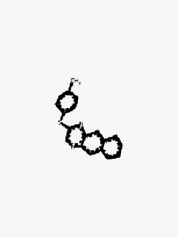 Cc1ccc(Sc2cnc3cc4ccccc4cc3n2)cc1